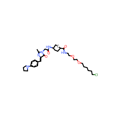 CC1=N/C(=C\c2ccc(N3CCCC3)cc2)C(=O)N1CC(=O)NC1CCC(C(=O)NCCOCCOCCCCCCCl)CC1